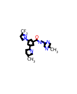 Cc1ccc(-c2cc(C(=O)NCc3cnc(C)cn3)cc(-n3ccc(C(F)(F)F)n3)c2)nc1